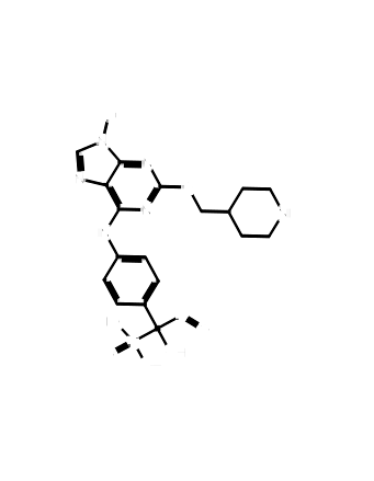 CCn1cnc2c(Nc3ccc(C(O)(P=O)P(=O)(O)O)cc3)nc(OCC3CCNCC3)nc21